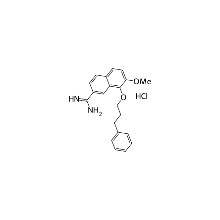 COc1ccc2ccc(C(=N)N)cc2c1OCCCc1ccccc1.Cl